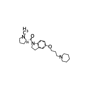 CN1CCC[C@H]1C(=O)N1CCc2cc(OCCCN3CCCCC3)ccc21